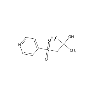 CC(C)(O)CS(=O)(=O)c1ccncc1